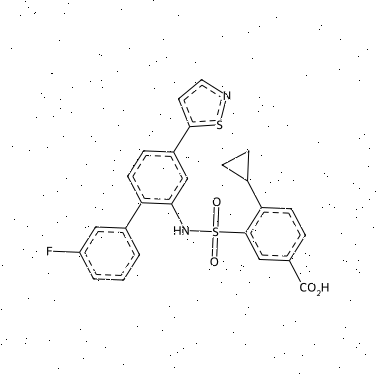 O=C(O)c1ccc(C2CC2)c(S(=O)(=O)Nc2cc(-c3ccns3)ccc2-c2cccc(F)c2)c1